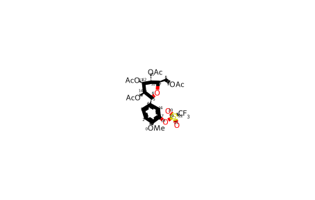 COc1ccc([C@H]2O[C@H](COC(C)=O)[C@@H](OC(C)=O)[C@@H](OC(C)=O)[C@@H]2OC(C)=O)cc1OS(=O)(=O)C(F)(F)F